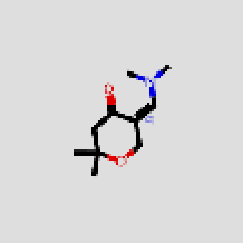 CN(C)/C=C1/COC(C)(C)CC1=O